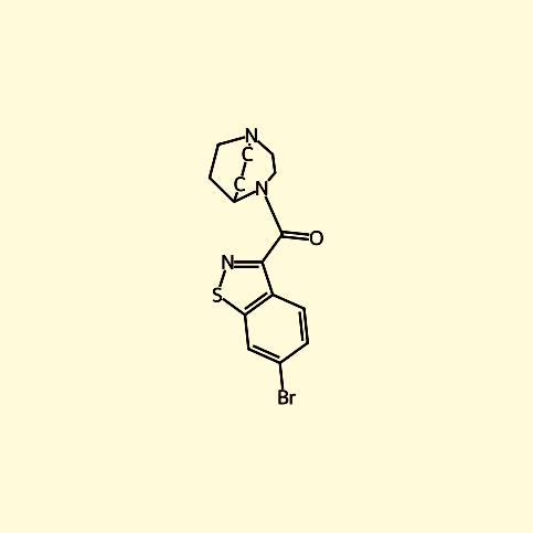 O=C(c1nsc2cc(Br)ccc12)N1CCN2CCC1CC2